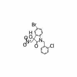 O=C1N(Cc2ccccc2Cl)c2ccc(Br)cc2C1(O)C[N+](=O)[O-]